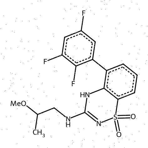 COC(C)CNC1=NS(=O)(=O)c2cccc(-c3cc(F)cc(F)c3F)c2N1